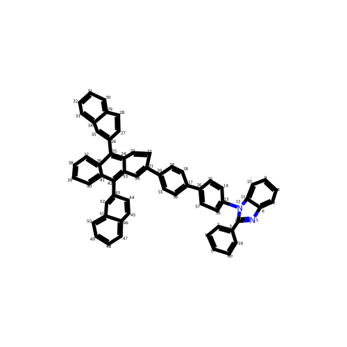 c1ccc(-c2nc3ccccc3n2-c2ccc(-c3ccc(-c4ccc5c(-c6ccc7ccccc7c6)c6ccccc6c(-c6ccc7ccccc7c6)c5c4)cc3)cc2)cc1